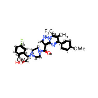 COc1ccc(-c2nc3c(C(=O)N4CCN([C@H](CO)c5cc(F)ccc5OC)CC4)cnn3c(C(F)(F)F)c2C)cc1